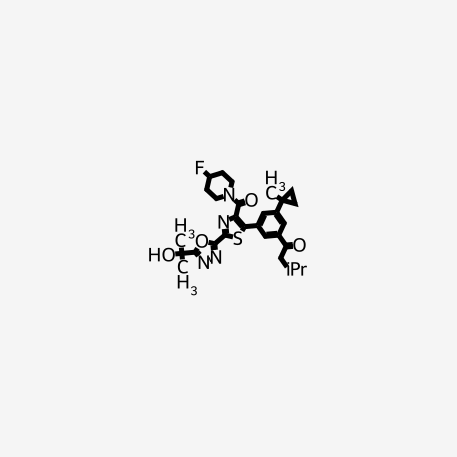 CC(C)CC(=O)c1cc(-c2sc(-c3nnc(C(C)(C)O)o3)nc2C(=O)N2CCC(F)CC2)cc(C2(C)CC2)c1